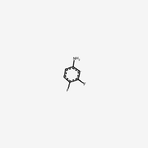 Nc1[c]c(F)c(F)cc1